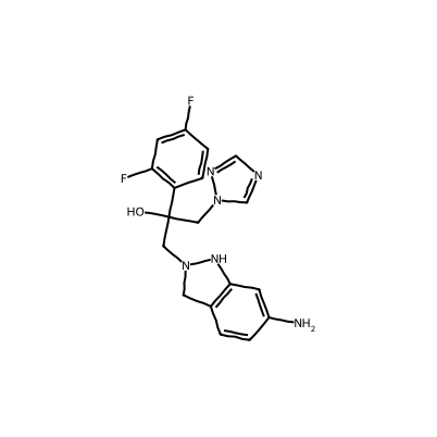 Nc1ccc2c(c1)NN(CC(O)(Cn1cncn1)c1ccc(F)cc1F)C2